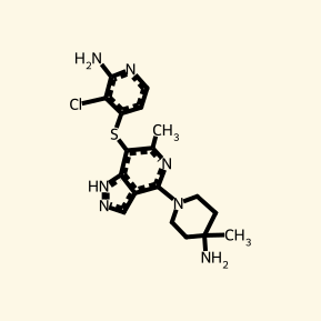 Cc1nc(N2CCC(C)(N)CC2)c2cn[nH]c2c1Sc1ccnc(N)c1Cl